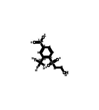 O=[N+]([O-])c1ccc(S(=O)(=O)CCO)c(C(F)(F)F)c1